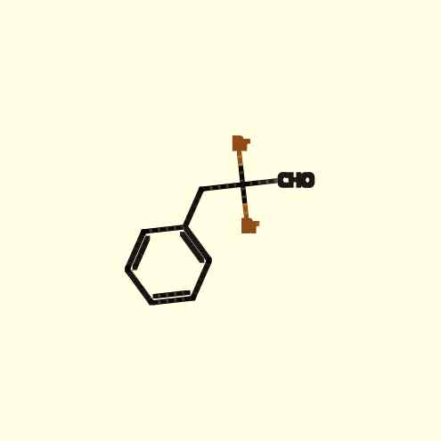 O=CC(Br)(Br)Cc1ccccc1